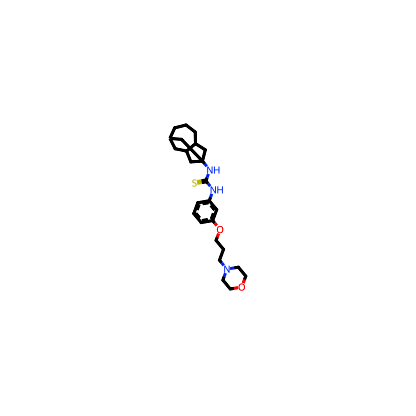 S=C(Nc1cccc(OCCCN2CCOCC2)c1)NC12CC3CCCC(C1)C(C3)C2